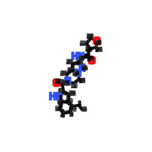 CCc1cccc2[nH]c(C(=O)N3CCn4nc(NC(=O)C5CCOC5)cc4C3)cc12